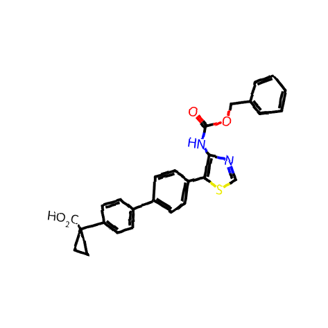 O=C(Nc1ncsc1-c1ccc(-c2ccc(C3(C(=O)O)CC3)cc2)cc1)OCc1ccccc1